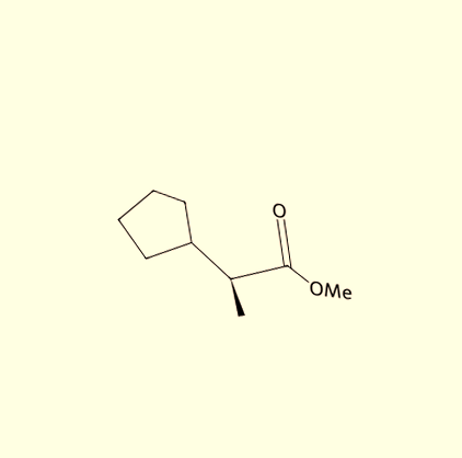 COC(=O)[C@@H](C)C1CCCC1